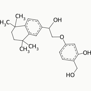 CC1(C)CCC(C)(C)c2cc(C(O)COc3ccc(CO)c(O)c3)ccc21